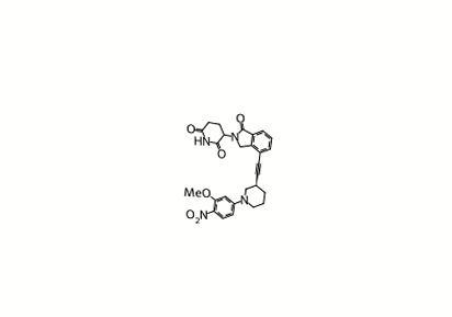 COc1cc(N2CCC[C@H](C#Cc3cccc4c3CN(C3CCC(=O)NC3=O)C4=O)C2)ccc1[N+](=O)[O-]